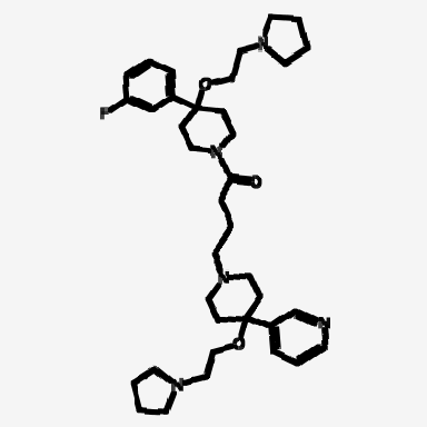 O=C(CCCN1CCC(OCCN2CCCC2)(c2cccnc2)CC1)N1CCC(OCCN2CCCC2)(c2cccc(F)c2)CC1